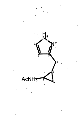 CC(=O)NC1CC1Cc1cc[nH]n1